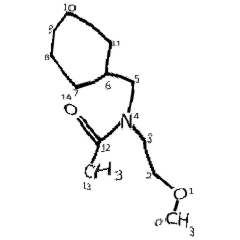 COCCN(CC1CCCCC1)C(C)=O